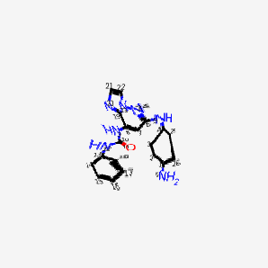 NC1CCC(Nc2cc(NC(=O)Nc3ccccc3)c3nccn3n2)CC1